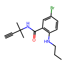 C#CC(C)(C)NC(=O)c1cc(Br)ccc1NCCC